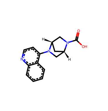 O=C(O)N1C[C@@H]2C[C@H]1CN2c1ccnc2ccccc12